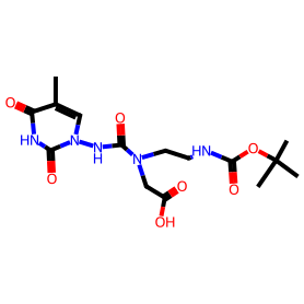 Cc1cn(NC(=O)N(CCNC(=O)OC(C)(C)C)CC(=O)O)c(=O)[nH]c1=O